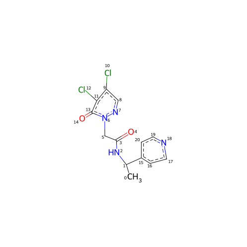 CC(NC(=O)Cn1ncc(Cl)c(Cl)c1=O)c1ccncc1